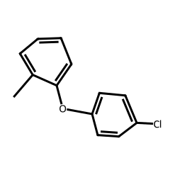 Cc1ccccc1Oc1ccc(Cl)cc1